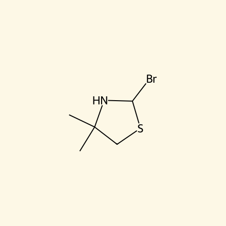 CC1(C)CSC(Br)N1